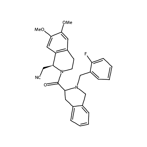 COc1cc2c(cc1OC)[C@H](CC#N)N(C(=O)C1Cc3ccccc3CN1Cc1ccccc1F)CC2